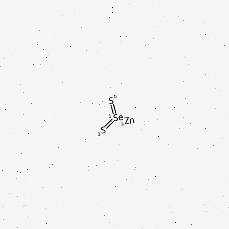 S=[Se]=S.[Zn]